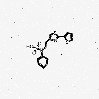 O=S(=O)(O)N(CCc1csc(-c2cccs2)n1)c1ccccc1